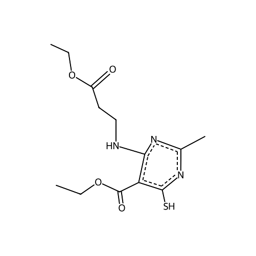 CCOC(=O)CCNc1nc(C)nc(S)c1C(=O)OCC